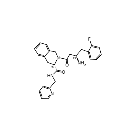 N[C@@H](CC(=O)N1Cc2ccccc2C[C@H]1C(=O)NCc1ccccn1)Cc1ccccc1F